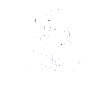 COc1ccc(C(Nc2nc(=O)n([C@@H]3C[C@H](O)[C@@H](CO)O3)cc2CCN(CC[C@H](NC(=O)OC(C)(C)C)C(=O)OC(C)(C)C)C[C@H]2O[C@@H](n3cnc4c(NC(c5ccccc5)(c5ccccc5)c5ccc(OC)cc5)ncnc43)[C@H](O[Si](C)(C)C(C)(C)C)[C@@H]2O[Si](C)(C)C(C)(C)C)(c2ccccc2)c2ccccc2)cc1